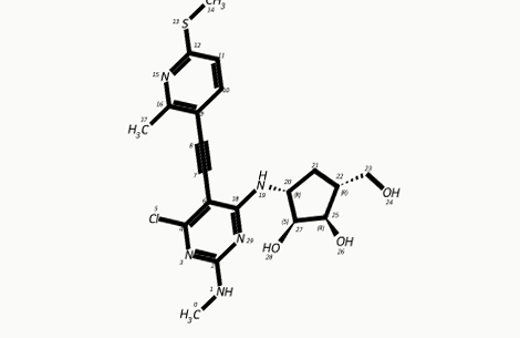 CNc1nc(Cl)c(C#Cc2ccc(SC)nc2C)c(N[C@@H]2C[C@H](CO)[C@@H](O)[C@H]2O)n1